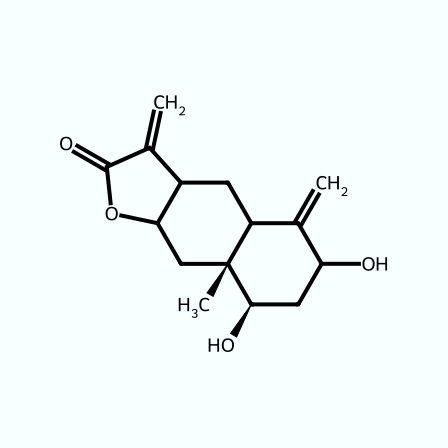 C=C1C(=O)OC2C[C@]3(C)C(CC12)C(=C)C(O)C[C@H]3O